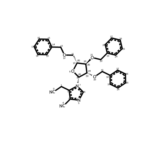 N#CCc1c(C#N)ncn1[C@@H]1O[C@H](COCc2ccccc2)[C@@H](OCc2ccccc2)[C@@H]1OCc1ccccc1